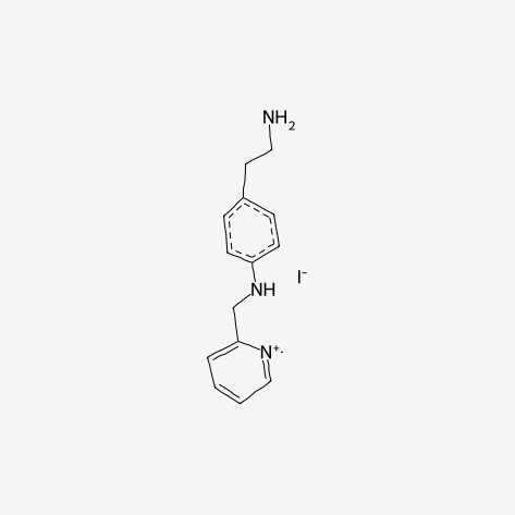 NCCc1ccc(NCC2=CC=CC=[N+]2)cc1.[I-]